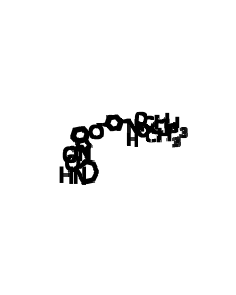 CC(C)(C)OC(=O)NCc1ccc(COc2cccc3c2CN(C2CCCCNC2=O)C3=O)cc1